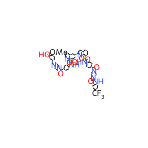 COc1ccc(CN2CCN(C(=O)c3ccc(NS(=O)(=O)c4cc(-c5ccc6cccc(S(=O)(=O)Nc7ccc(C(=O)N8CCN(C(=O)Nc9ccc(C(F)(F)F)cc9)CC8)cc7)c6n5)cc5cccnc45)cc3)CC2)cc1O